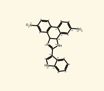 O=[N+]([O-])c1ccc2c(c1)C1N=C(c3c[nH]c4ccccc34)NC1c1cc([N+](=O)[O-])ccc1-2